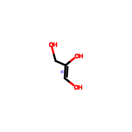 O/C=C(\O)CO